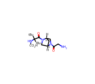 CC(C)(C)C(NC(=O)O)(C(=O)N1C[C@@H]2C[C@H]1CN2C(=O)CN)C(C)(C)C